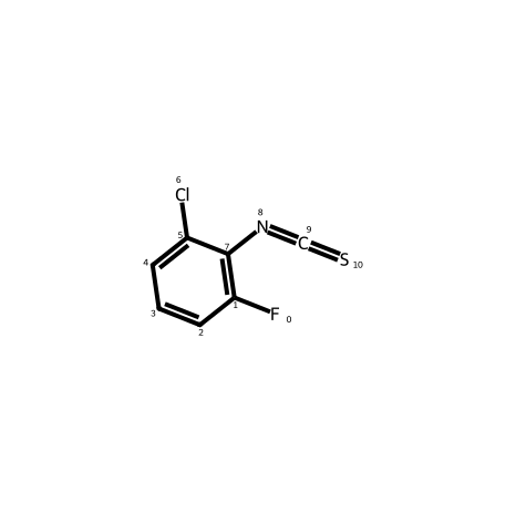 Fc1cccc(Cl)c1N=C=S